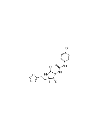 CC1(CCc2ccco2)NC(=O)N(NC(=O)Nc2ccc(Br)cc2)C1=O